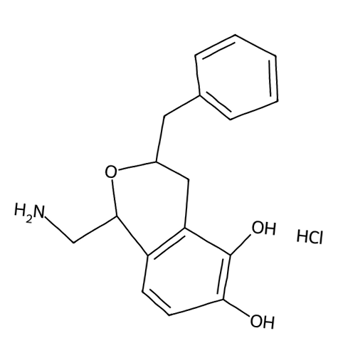 Cl.NCC1OC(Cc2ccccc2)Cc2c1ccc(O)c2O